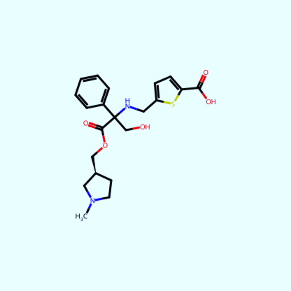 CN1CC[C@H](COC(=O)C(CO)(NCc2ccc(C(=O)O)s2)c2ccccc2)C1